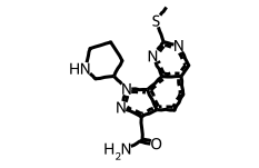 CSc1ncc2ccc3c(C(N)=O)nn(C4CCCNC4)c3c2n1